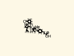 O=C(O)CCc1ccc(N2C[C@@H]3C[C@H]2C[C@H]3OCc2c(C3CC3)cnn2-c2c(Cl)cccc2Cl)c(F)c1